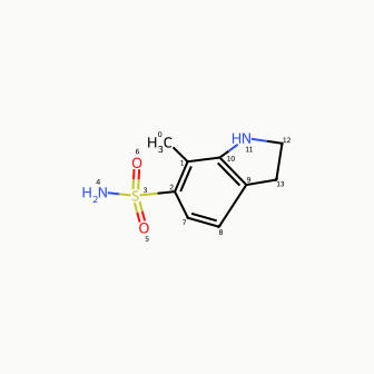 Cc1c(S(N)(=O)=O)ccc2c1NCC2